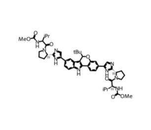 COC(=O)NC(C(=O)N1CCC[C@H]1c1ncc(-c2ccc3[nH]c4c(c3c2)C(C(C)(C)C)Oc2cc(-c3cnc([C@@H]5CCCN5C(=O)[C@@H](NC(=O)OC)C(C)C)[nH]3)ccc2-4)[nH]1)C(C)C